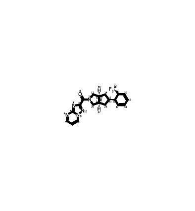 O=C(c1nc2ncccn2n1)N1C[C@H]2C[C@@H](C3C=CC=CC3C(F)(F)F)C[C@H]2C1